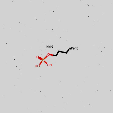 CCCCCCCCOP(=O)(O)O.[NaH]